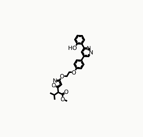 COC(=O)C(c1cc(OCCOc2ccc(-c3cnnc(-c4ccccc4O)c3)cc2)no1)C(C)C